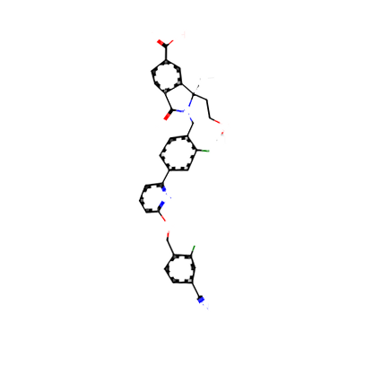 COCC[C@@]1(C)c2cc(C(=O)O)ccc2C(=O)N1Cc1ccc(-c2cccc(OCc3ccc(C#N)cc3F)n2)cc1F